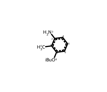 Cc1c(N)cccc1OCC(C)C